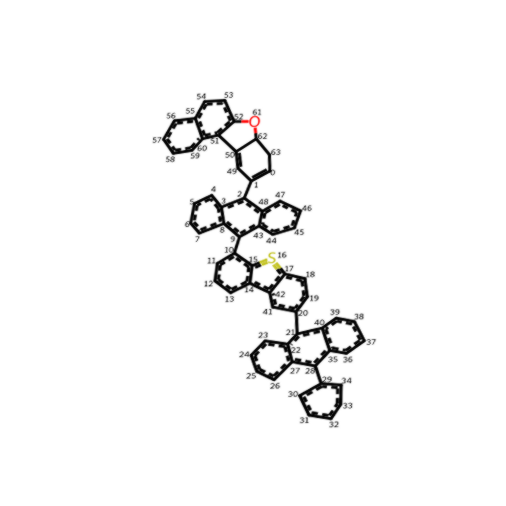 C1=C(c2c3ccccc3c(-c3cccc4c3sc3ccc(-c5c6ccccc6c(-c6ccccc6)c6ccccc56)cc34)c3ccccc23)C=C2c3c(ccc4ccccc34)OC2C1